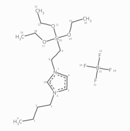 CCCC[n+]1ccn(CC[Si](OCC)(OCC)OCC)c1.F[B-](F)(F)F